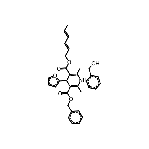 CC=CC=CCOC(=O)C1=C(C)NC(C)=C(C(=O)OCc2ccccc2)C1c1ccco1.OCc1ccccc1